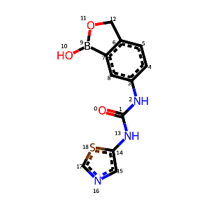 O=C(Nc1ccc2c(c1)B(O)OC2)Nc1cncs1